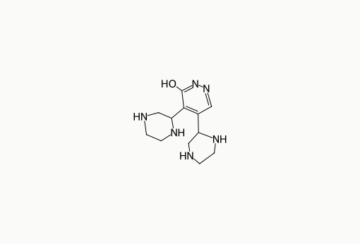 Oc1nncc(C2CNCCN2)c1C1CNCCN1